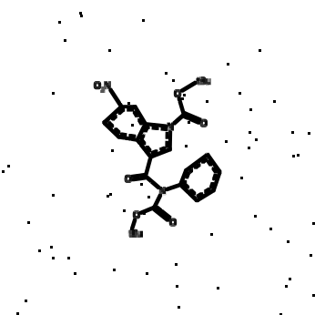 CC(C)(C)OC(=O)N(C(=O)c1cn(C(=O)OC(C)(C)C)c2cc([N+](=O)[O-])ccc12)c1ccccc1